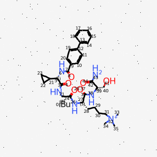 CC[C@H](C)C(NC(=O)[C@@H](NC(=O)c1ccc(-c2ccccc2)cc1)C1CC1)C(=O)N[C@@H](CCCC[N+](C)(C)C)C(=O)N[C@@H](CO)C(N)=O